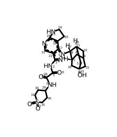 O=C(Nc1nn([C@H]2[C@@H]3CC4C[C@H]2C[C@@](O)(C4)C3)c2c3c(ncc12)NCC3)C(=O)NC1CCS(=O)(=O)CC1